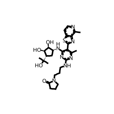 Cc1nc(NCCCN2CCCC2=O)nc(N[C@@H]2C[C@H](C(C)(C)O)[C@@H](O)[C@H]2O)c1-c1nc2c(C)nccc2s1